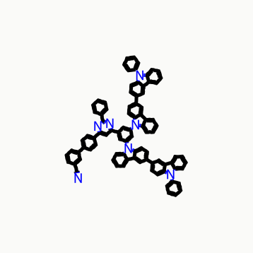 N#Cc1cccc(-c2ccc(-c3cc(-c4cc(-n5c6ccccc6c6cc(-c7ccc8c(c7)c7ccccc7n8-c7ccccc7)ccc65)cc(-n5c6ccccc6c6cc(-c7ccc8c(c7)c7ccccc7n8-c7ccccc7)ccc65)c4)nc(-c4ccccc4)n3)cc2)c1